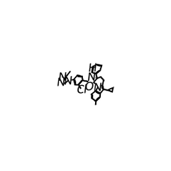 Cc1ccc2c(c1)c(C1CC1)c1n2C[C@@](NC(=O)c2ccc(-n3cnnc3C)cc2Cl)(c2ccccc2)CC1